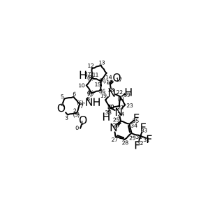 CO[C@@H]1COCC[C@@H]1N[C@@H]1C[C@H]2CCC[C@@]2(C(=O)N2C[C@@H]3C[C@H]2CN3c2nccc(C(F)(F)F)c2F)C1